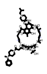 C/C1=C/C=C/[C@H](C)C[C@@H](C)[C@@H](OC(C)(C)O)[C@@H](C)[C@H](OC(=O)CC(=O)N2CCC(N(C)c3ccccc3)CC2)[C@H](C)C/C=C/C[C@@]2(C)Oc3c(C)c(O)c4c(c3C2=O)C2=NC3(CCN(CC(C)C)CC3)NC2=C(NC1=O)C4=O